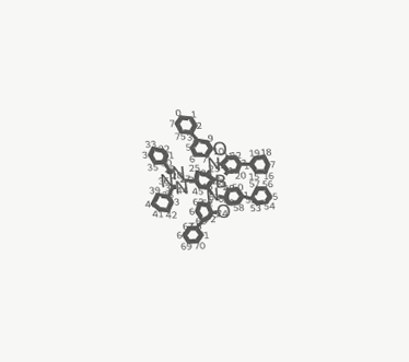 c1ccc(-c2ccc3c(c2)Oc2cc(-c4ccccc4)cc4c2N3c2cc(-c3nc(-c5ccccc5)nc(-c5ccccc5)n3)cc3c2B4c2cc(-c4ccccc4)cc4c2N3c2ccc(-c3ccccc3)cc2O4)cc1